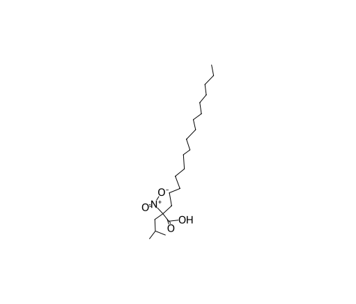 CCCCCCCCCCCCCCCCC(CC(C)C)(C(=O)O)[N+](=O)[O-]